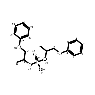 CC(COc1ccccc1)OP(=O)(O)OC(C)COc1ccccc1